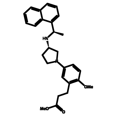 COC(=O)CCc1cc(N2CC[C@H](N[C@H](C)c3cccc4ccccc34)C2)ccc1OC